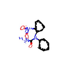 NC(=O)N(c1[c]cccc1)c1ccccc1[N+](=O)[O-]